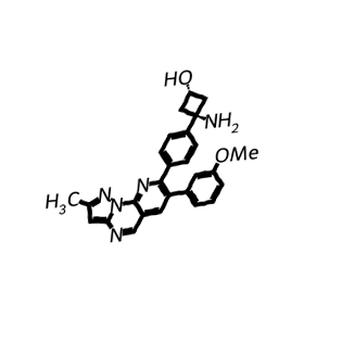 COc1cccc(-c2cc3cnc4cc(C)nn4c3nc2-c2ccc([C@]3(N)C[C@H](O)C3)cc2)c1